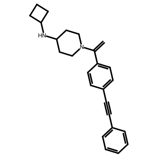 C=C(c1ccc(C#Cc2ccccc2)cc1)N1CCC(NC2CCC2)CC1